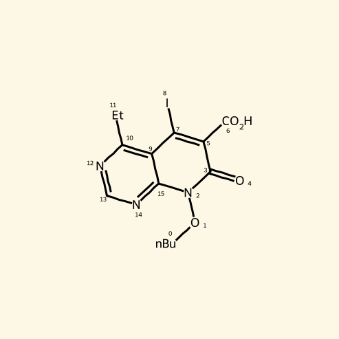 CCCCOn1c(=O)c(C(=O)O)c(I)c2c(CC)ncnc21